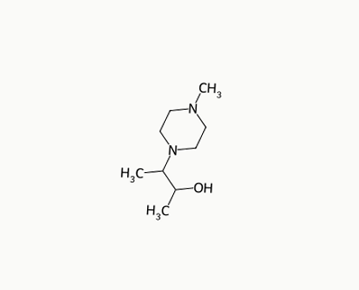 CC(O)C(C)N1CCN(C)CC1